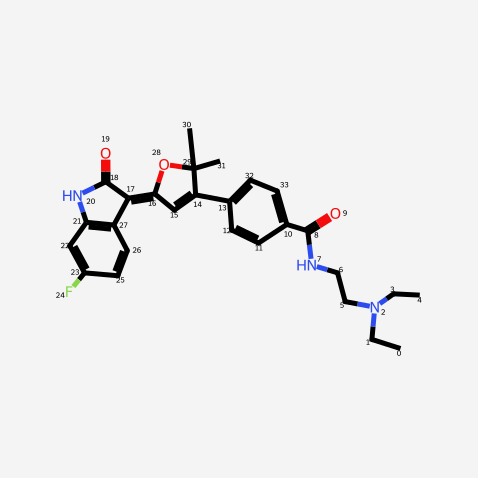 CCN(CC)CCNC(=O)c1ccc(C2=CC(=C3C(=O)Nc4cc(F)ccc43)OC2(C)C)cc1